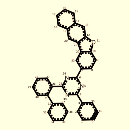 c1ccc(-c2nc(-c3ccc4oc5cc6ccccc6cc5c4c3)nc(-c3ccccc3-c3ccccc3)n2)cc#1